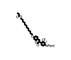 C=CC(=O)OCCCCCCCCCCCCOc1ccc2cc(-c3ccc(CCCCC)cc3C(F)(F)F)c(=O)oc2c1